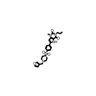 CCCn1c(=O)c2[nH]c(-c3ccc(S(=O)(=O)N4CCN(Cc5ccoc5)CC4)cc3)cc2n(C)c1=O